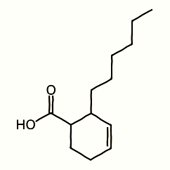 CCCCCCC1C=CCCC1C(=O)O